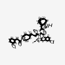 CN(C)C[C@H]1Cc2cc(Cl)ccc2N(C(=O)[C@@H](Cc2c[nH]c3ccccc23)NC(=O)CCC2CCN(C(=O)Cc3cccc(Cl)c3)CC2)C1